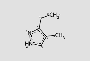 [CH2]Cc1n[nH]cc1C